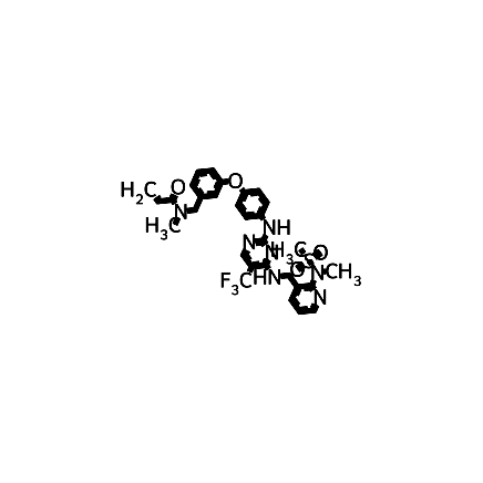 C=CC(=O)N(C)Cc1cccc(Oc2ccc(Nc3ncc(C(F)(F)F)c(NCc4cccnc4N(C)S(C)(=O)=O)n3)cc2)c1